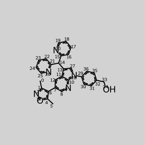 Cc1noc(C)c1-c1cnc2c(c1)c(C(c1ccccn1)c1ccccn1)cn2-c1ccc(CO)cc1